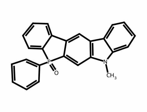 Cn1c2ccccc2c2cc3c(cc21)P(=O)(c1ccccc1)c1ccccc1-3